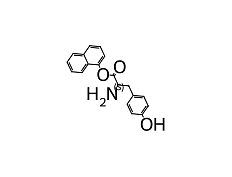 N[C@@H](Cc1ccc(O)cc1)C(=O)Oc1cccc2ccccc12